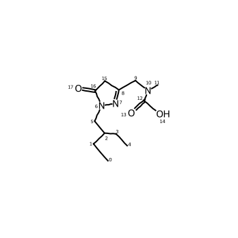 CCC(CC)CN1N=C(CN(C)C(=O)O)CC1=O